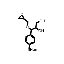 CCCCCCCCCc1ccc(C(OCC2CO2)C(O)CO)cc1